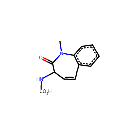 CN1C(=O)C(NC(=O)O)C=Cc2ccccc21